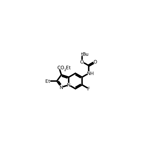 CCOC(=O)c1c(CC)nn2cc(F)c(NC(=O)OC(C)(C)C)cc12